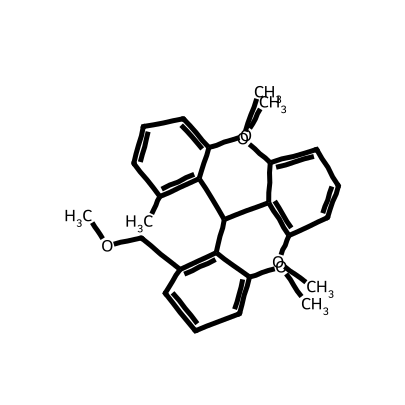 COCc1cccc(OC)c1C(c1c(C)cccc1OC)c1c(OC)cccc1OC